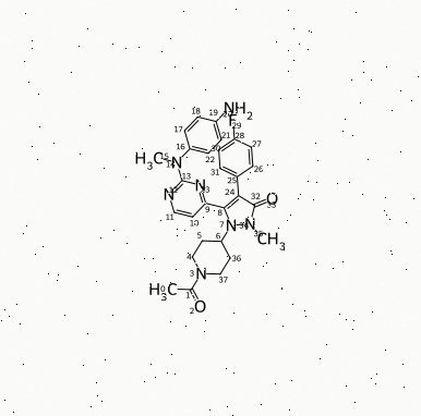 CC(=O)N1CCC(n2c(-c3ccnc(N(C)c4ccc(N)cc4)n3)c(-c3ccc(F)cc3)c(=O)n2C)CC1